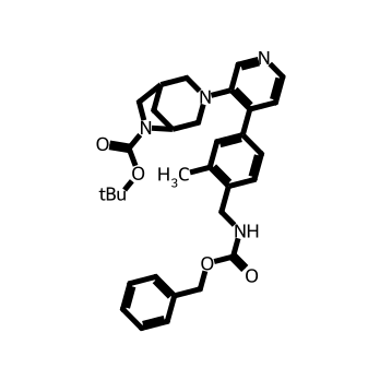 Cc1cc(-c2ccncc2N2CC3CC(C2)N(C(=O)OC(C)(C)C)C3)ccc1CNC(=O)OCc1ccccc1